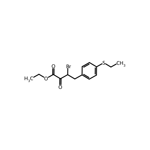 CCOC(=O)C(=O)C(Br)Cc1ccc(SCC)cc1